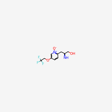 N=C(CO)Cc1ccc(OCC(F)(F)F)c[n+]1[O-]